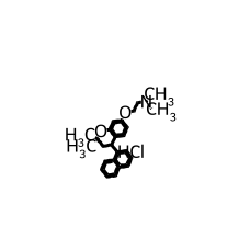 CN(C)CCOc1ccc2c(c1)OC(C)(C)CC2c1cccc2ccccc12.Cl